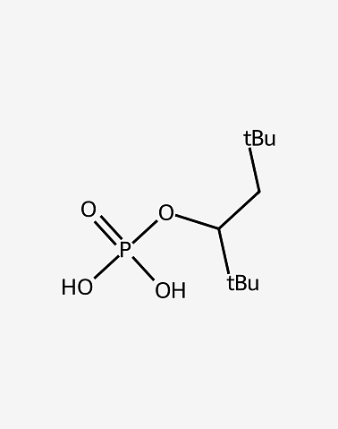 CC(C)(C)CC(OP(=O)(O)O)C(C)(C)C